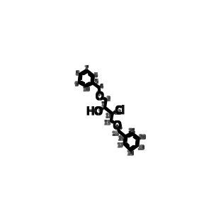 O[C@H](COCc1ccccc1)[C@@H](Cl)COCc1ccccc1